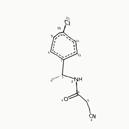 C[C@@H](NC(=O)CC#N)c1ccc(Cl)cc1